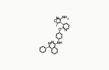 Cc1onc(N)c1-c1cccnc1Oc1ccc(Nc2nnc(-c3ccccc3)c3ccccc23)cc1